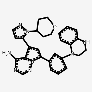 Nc1ncnn2c(-c3cccc(N4CCNc5ccccc54)c3)cc(-c3ccnn3C3CCOCC3)c12